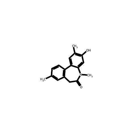 Cc1ccc2c(c1)CC(=O)N(C)c1cc(O)c(C)cc1-2